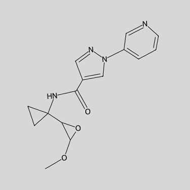 COC1OC1C1(NC(=O)c2cnn(-c3cccnc3)c2)CC1